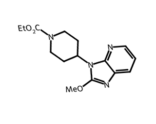 CCOC(=O)N1CCC(n2c(OC)nc3cccnc32)CC1